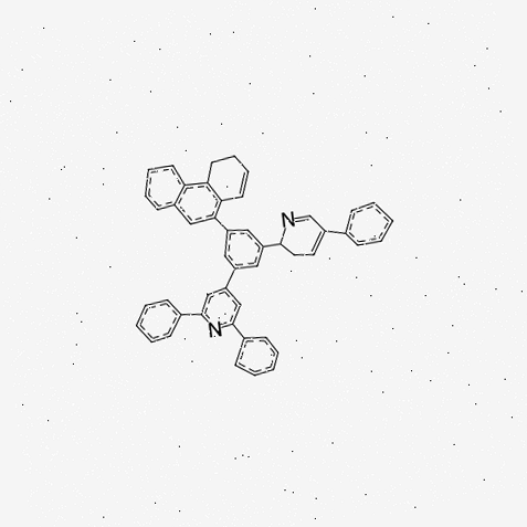 C1=Cc2c(-c3cc(-c4cc(-c5ccccc5)nc(-c5ccccc5)c4)cc(C4CC=C(c5ccccc5)C=N4)c3)cc3ccccc3c2CC1